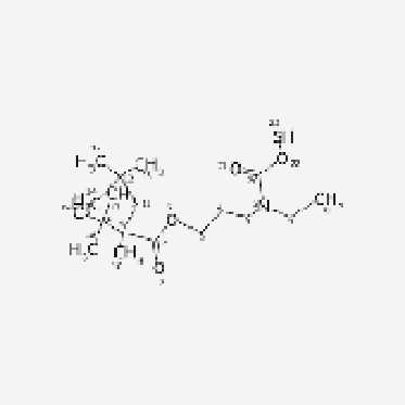 CCN(CCCOC(=O)C(C)(CC(C)(C)C)C(C)(C)C)C(=O)OS